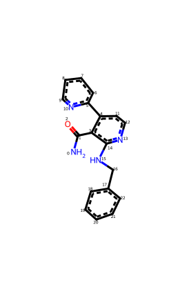 NC(=O)c1c(-c2ccccn2)ccnc1NCc1ccccc1